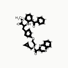 COC(=O)C(Cc1ccc(OCCN(CC2CC2)C(=O)c2cnc3ccccc3n2)cc1)Nc1ccccc1C(=O)c1ccccc1